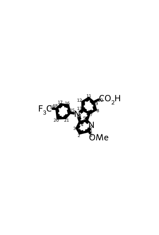 COc1ccc2c(n1)c1cc(C(=O)O)ccc1n2-c1ccc(C(F)(F)F)cc1